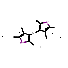 Cc1[pH]c(C)[c]([Sc+][c]2c(C)[pH]c(C)c2C)c1C.[H-]